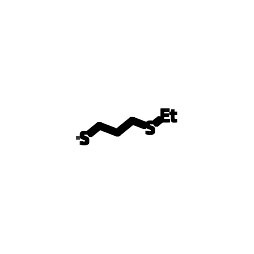 CCSCCC[S]